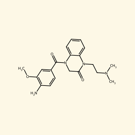 COc1cc(C(=O)N2CC(=O)N(CCN(C)C)c3ccccc32)ccc1N